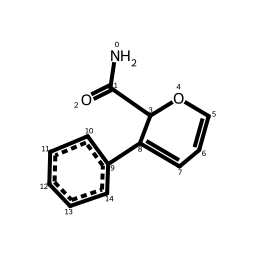 NC(=O)C1OC=CC=C1c1ccccc1